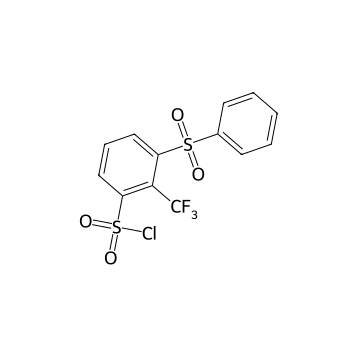 O=S(=O)(Cl)c1cccc(S(=O)(=O)c2ccccc2)c1C(F)(F)F